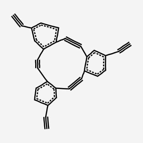 C#Cc1ccc2c(c1)C#Cc1ccc(C#C)cc1C#Cc1ccc(C#C)cc1C#C2